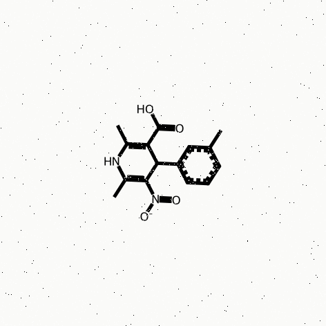 CC1=C(C(=O)O)C(c2cccc(C)c2)C([N+](=O)[O-])=C(C)N1